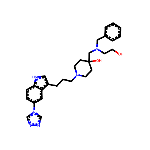 OCCN(Cc1ccccc1)CC1(O)CCN(CCCc2c[nH]c3ccc(-n4cnnc4)cc23)CC1